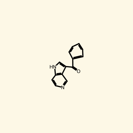 O=C(c1ccccc1)c1c[nH]c2ccncc12